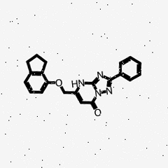 O=c1cc(COc2cccc3c2CCC3)[nH]c2nc(-c3ccccc3)nn12